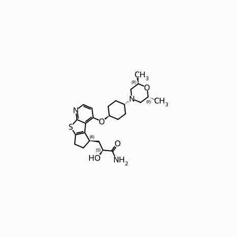 C[C@@H]1CN([C@H]2CC[C@H](Oc3ccnc4sc5c(c34)[C@@H](C[C@H](O)C(N)=O)CC5)CC2)C[C@@H](C)O1